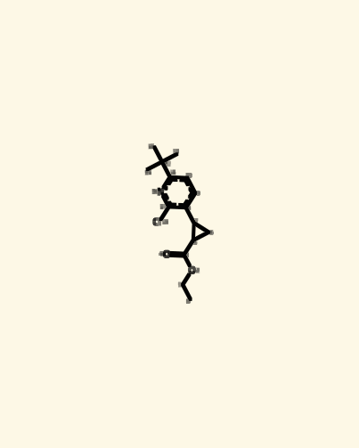 CCOC(=O)C1CC1c1ccc(C(C)(C)C)nc1Cl